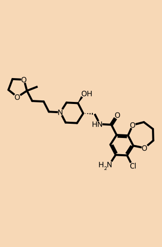 CC1(CCCN2CC[C@@H](CNC(=O)c3cc(N)c(Cl)c4c3OCCCO4)[C@H](O)C2)OCCO1